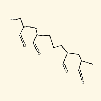 [CH2]CC(C=O)CC(C=O)CCCC(C=O)CC(C)C=O